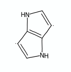 [c]1c[nH]c2[c]c[nH]c12